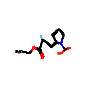 CCOC(=O)C(F)=CC1CCCN1C(=O)O